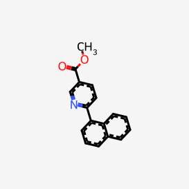 COC(=O)c1ccc(-c2cccc3ccccc23)nc1